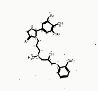 COc1ccccc1SCC(O)CN(C)CCCN1C(=O)CSC1c1cc(C(C)(C)C)c(O)c(C(C)(C)C)c1